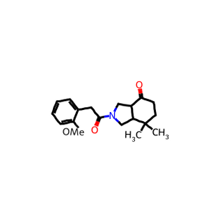 COc1ccccc1CC(=O)N1CC2C(=O)CCC(C)(C)C2C1